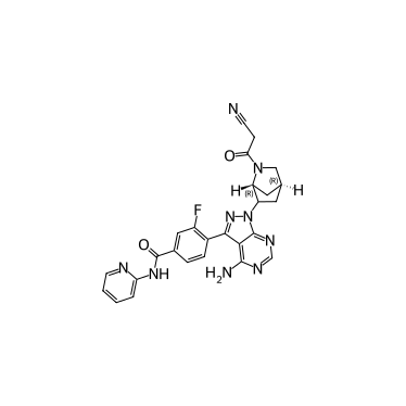 N#CCC(=O)N1C[C@H]2CC(n3nc(-c4ccc(C(=O)Nc5ccccn5)cc4F)c4c(N)ncnc43)[C@H]1C2